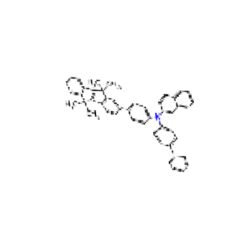 CC1(C)C2=C(c3ccccc31)C(C)(C)c1cc(-c3ccc(N(c4ccc(-c5ccccc5)cc4)c4ccc5ccccc5c4)cc3)ccc12